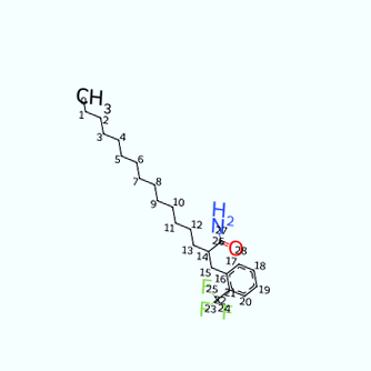 CCCCCCCCCCCCCCC(Cc1ccccc1C(F)(F)F)C(N)=O